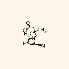 CC(C)(CC(=O)Cl)Cn1cc(I)cc1C#N